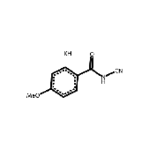 COc1ccc(C(=O)NC#N)cc1.[KH]